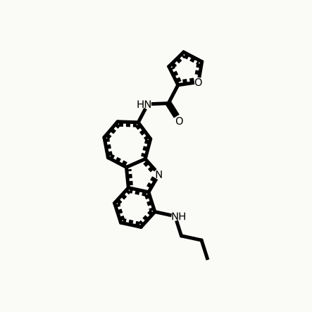 CCCNc1cccc2c3cccc(NC(=O)c4ccco4)cc-3nc12